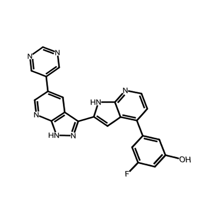 Oc1cc(F)cc(-c2ccnc3[nH]c(-c4n[nH]c5ncc(-c6cncnc6)cc45)cc23)c1